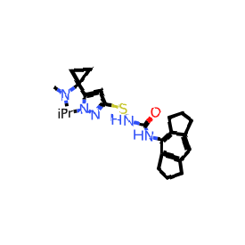 CC(C)n1nc(SNC(=O)Nc2c3c(cc4c2CCC4)CCC3)cc1C1(N(C)C)CC1